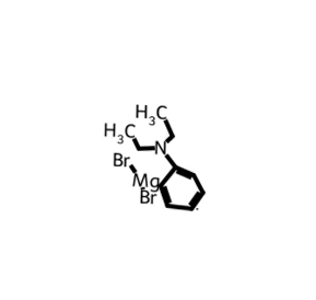 CCN(CC)c1cc[c]cc1.[Br][Mg][Br]